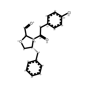 O=CC1OC[C@@H](Cc2ccccc2)N1C(=O)Cc1ccc(Cl)cc1